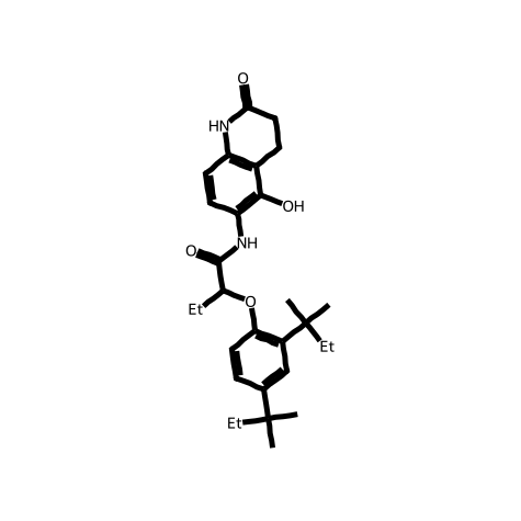 CCC(Oc1ccc(C(C)(C)CC)cc1C(C)(C)CC)C(=O)Nc1ccc2c(c1O)CCC(=O)N2